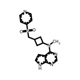 CN(c1ncnc2[nH]ccc12)C1CC(CS(=O)(=O)c2ccncc2)C1